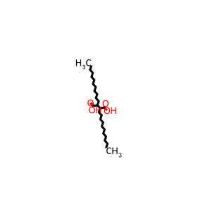 CCCCCCCCCCCCC(C(=O)O)C(CCCCCCCCCCCC)C(=O)O